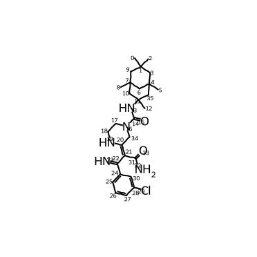 CC1(C)CC2(C)CC(C)(C1)CC(C)(NC(=O)N1CCN/C(=C(\C(=N)c3cccc(Cl)c3)C(N)=O)C1)C2